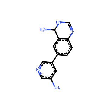 Nc1cncc(-c2ccc3c(c2)C(N)NC=N3)c1